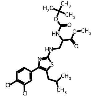 COC(=O)C(CNc1nc(-c2ccc(Cl)c(Cl)c2)c(CC(C)C)s1)NC(=O)OC(C)(C)C